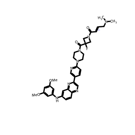 COc1cc(Nc2ccc3ncc(-c4ccc(N5CCN(C(=O)C6(F)CN(C(=O)/C=C/CN(C)C)C6)CC5)nc4)nc3c2)cc(OC)c1